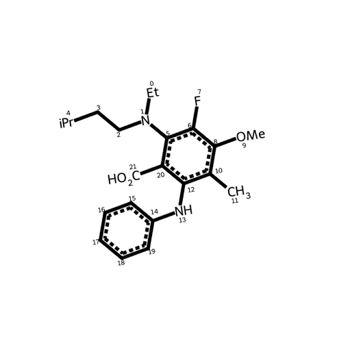 CCN(CCC(C)C)c1c(F)c(OC)c(C)c(Nc2ccccc2)c1C(=O)O